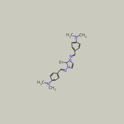 CCC1N(N=Cc2ccc(N(C)C)cc2)C=CN1N=Cc1ccc(N(C)C)cc1